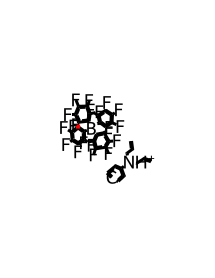 C=CC[NH+](CC=C)c1ccccc1.Fc1c(F)c(F)c([B-](c2c(F)c(F)c(F)c(F)c2F)(c2c(F)c(F)c(F)c(F)c2F)c2c(F)c(F)c(F)c(F)c2F)c(F)c1F